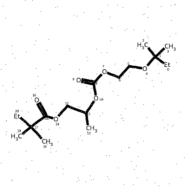 CCC(C)(C)OCCOC(=O)OC(C)COC(=O)C(C)(C)CC